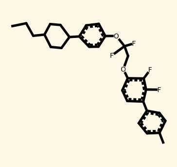 CCCC1CCC(c2ccc(OC(F)(F)COc3ccc(-c4ccc(C)cc4)c(F)c3F)cc2)CC1